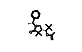 C[C@H](c1ccccc1)N1C[C@H](C(O[SiH](C)C)C(C)(C)C)C(C)(C)C1=O